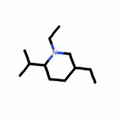 CCC1CCC(C(C)C)N(CC)C1